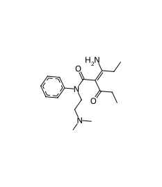 CCC(=O)/C(C(=O)N(CCN(C)C)c1ccccc1)=C(/N)CC